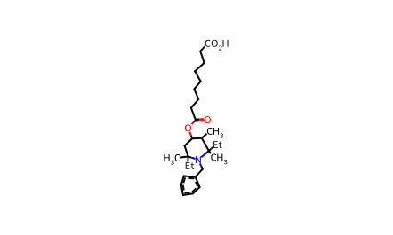 CCC1(C)CC(OC(=O)CCCCCCCC(=O)O)C(C)C(C)(CC)N1Cc1ccccc1